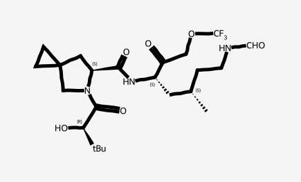 C[C@@H](CCNC=O)C[C@H](NC(=O)[C@@H]1CC2(CC2)CN1C(=O)[C@H](O)C(C)(C)C)C(=O)COC(F)(F)F